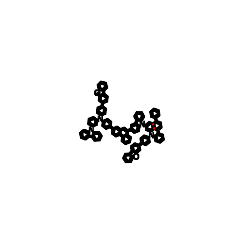 c1ccc(-c2ccc(-c3ccccc3N(c3ccc(-c4ccc5c(c4)oc4ccccc45)cc3)c3cccc(-n4c5ccccc5c5cc(-c6cc7cc(-c8ccc(N(c9ccc(-c%10ccc%11c(c%10)oc%10ccccc%10%11)cc9)c9cccc(-n%10c%11ccccc%11c%11ccccc%11%10)c9)cc8)ccc7c7ccccc67)ccc54)c3)cc2)cc1